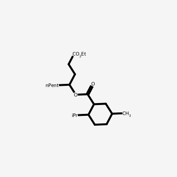 CCCCCC(CCC(=O)OCC)OC(=O)C1CC(C)CCC1C(C)C